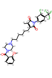 COc1ccccc1C(=O)N1CCN(CCCCCCC2=C(C)C(=O)N(c3ccc(C(F)(F)F)c(F)c3)C2=O)CC1